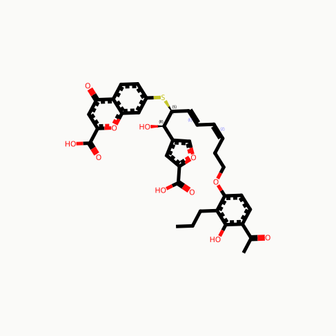 CCCc1c(OCC/C=C\C=C\[C@H](Sc2ccc3c(=O)cc(C(=O)O)oc3c2)[C@H](O)c2coc(C(=O)O)c2)ccc(C(C)=O)c1O